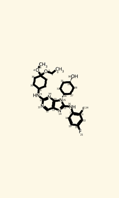 CCOC1(OC)CCC(Nc2ncc3nc(Nc4ccc(F)cc4F)n([C@H]4CC[C@@H](O)CC4)c3n2)CC1